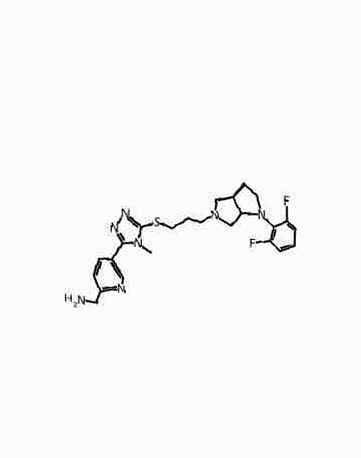 Cn1c(SCCCN2CC3CCN(c4c(F)cccc4F)C3C2)nnc1-c1ccc(CN)nc1